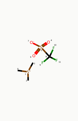 C[S+](C)C.O=S(=O)([O-])C(F)(F)F